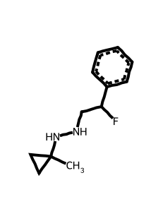 CC1(NNCC(F)c2ccccc2)CC1